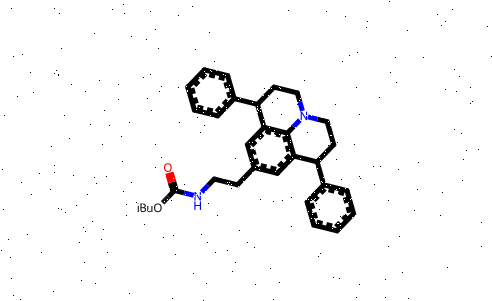 CC(C)COC(=O)NCCc1cc2c3c(c1)C(c1ccccc1)CCN3CCC2c1ccccc1